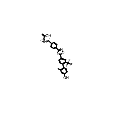 C=C(O)[C@@H](C)N[C@H](C)c1ccc(-c2noc(-c3ccc(-c4ccc(O)cc4C)c(C(F)(F)F)c3)n2)cc1